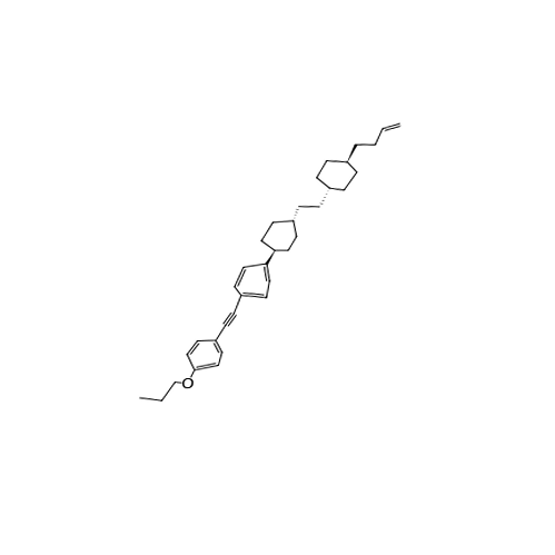 C=CCC[C@H]1CC[C@H](CC[C@H]2CC[C@H](c3ccc(C#Cc4ccc(OCCC)cc4)cc3)CC2)CC1